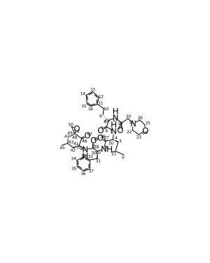 CC(C)C[C@H](NC(=O)[C@H](CCc1ccccc1)NC(=O)CN1CCOCC1)C(=O)N[C@@H](Cc1ccccc1)C(=O)N[C@@H](CC(C)C)C(=O)C1(C)CO1